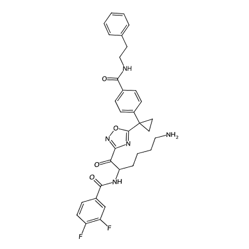 NCCCCC(NC(=O)c1ccc(F)c(F)c1)C(=O)c1noc(C2(c3ccc(C(=O)NCCc4ccccc4)cc3)CC2)n1